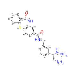 N/C=C(\NN)c1cccc(CNC(=O)c2ccc3c(c2)NC(=O)c2ccccc2S3)c1